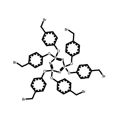 BrCc1ccc(OP2(Oc3ccc(CBr)cc3)=NP(Oc3ccc(CBr)cc3)(Oc3ccc(CBr)cc3)=NP(Oc3ccc(CBr)cc3)(Oc3ccc(CBr)cc3)=N2)cc1